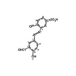 O=Cc1cc(N=Nc2cc(S(=O)(=O)O)ccc2Cl)ccc1O